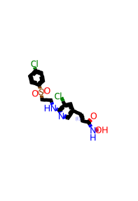 O=C(/C=C/c1cnc(NCCS(=O)(=O)c2ccc(Cl)cc2)c(Cl)c1)NO